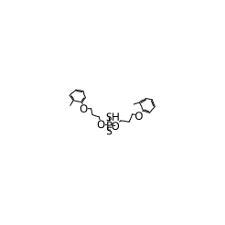 Cc1ccccc1OCCCOP(=S)(S)OCCCOc1ccccc1C